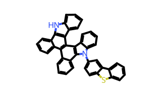 c1ccc2c(c1)[nH]c1c3ccccc3c3c4ccccc4c4c(c5ccccc5n4-c4ccc5sc6ccccc6c5c4)c3c21